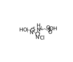 C[C@@H](CCCS(=O)(=O)O)Nc1cc(Cl)ncc1-c1nc(C(C)(C)O)cs1